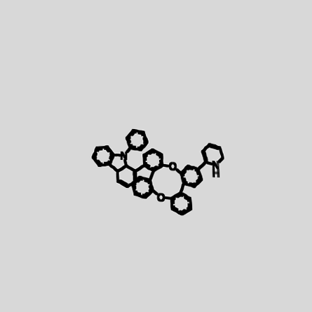 C1=CCNC(c2ccc3c(c2)Oc2cccc(C4=CC=CC5c6ccccc6N(c6ccccc6)C45)c2-c2ccccc2Oc2ccccc2-3)=C1